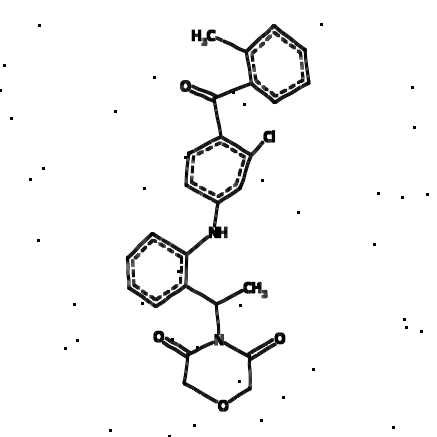 Cc1ccccc1C(=O)c1ccc(Nc2ccccc2C(C)N2C(=O)COCC2=O)cc1Cl